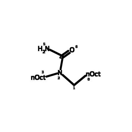 CCCCCCCCCN(CCCCCCCC)C(N)=O